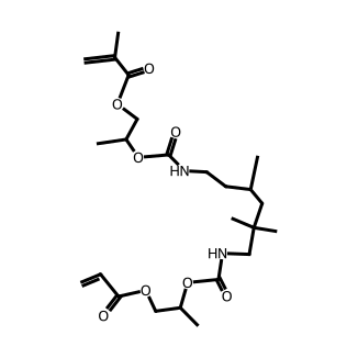 C=CC(=O)OCC(C)OC(=O)NCC(C)(C)CC(C)CCNC(=O)OC(C)COC(=O)C(=C)C